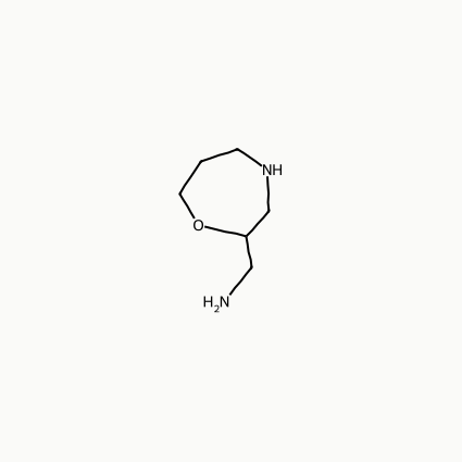 NCC1CNCCCO1